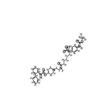 CN(CCN1CCC(OC(=O)Nc2ccccc2-c2ccccc2)CC1)C(=O)CCCCCN(C(=O)O)c1ccc(N(C)C(=O)OC(C)(C)C)cc1